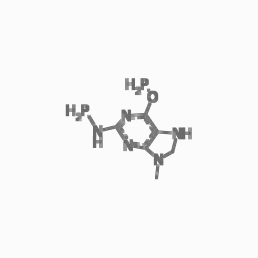 CN1CNc2c(OP)nc(NP)nc21